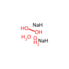 O.O.OO.[NaH].[NaH]